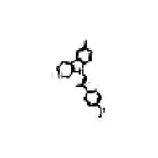 COc1ccc(/C(C)=C/n2c3c(c4cc(C)ccc42)CCNC3)cc1